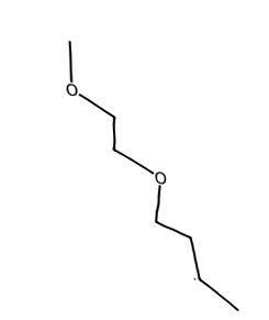 C[CH]CCOCCOC